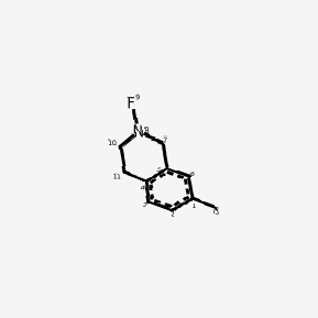 Cc1ccc2c(c1)CN(F)CC2